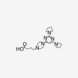 O=C(O)CCCN1CCN(c2cc(N3CCCC3)nc(N3CCCC3)n2)CC1